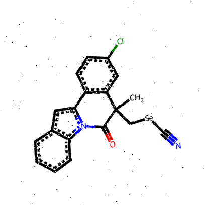 CC1(C[Se]C#N)C(=O)n2c(cc3ccccc32)-c2ccc(Cl)cc21